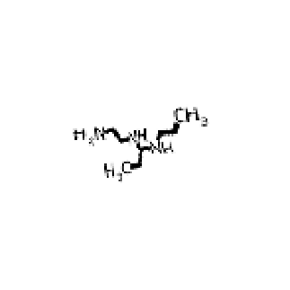 CCCNC(CC)NCCN